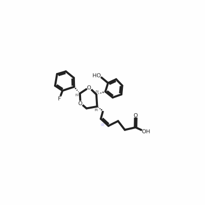 O=C(O)CC/C=C\C[C@@H]1CO[C@H](c2ccccc2F)O[C@@H]1c1ccccc1O